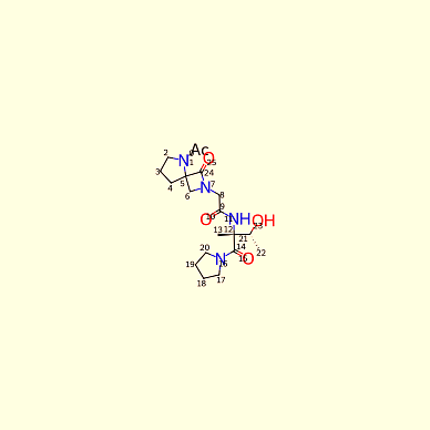 CC(=O)N1CCCC12CN(CC(=O)N[C@@](C)(C(=O)N1CCCC1)[C@@H](C)O)C2=O